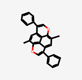 Cc1cc2c3c(c(C)cc4c3c1OC=C4c1ccccc1)OC=C2c1ccccc1